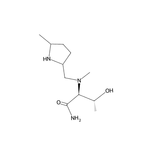 CC1CCC(CN(C)[C@H](C(N)=O)[C@@H](C)O)N1